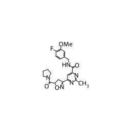 COc1cc(CNC(=O)c2cc(C3=NOC(C(=O)N4CCCC4)C3)nc(C)n2)ccc1F